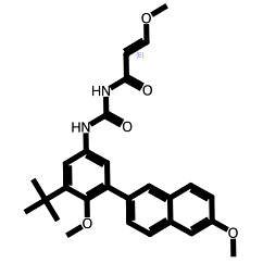 CO/C=C/C(=O)NC(=O)Nc1cc(-c2ccc3cc(OC)ccc3c2)c(OC)c(C(C)(C)C)c1